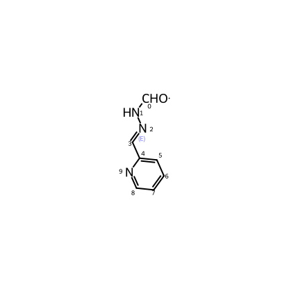 O=[C]N/N=C/c1ccccn1